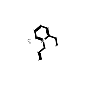 C=CC[n+]1ccccc1CC.[Cl-]